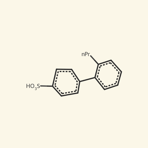 CCCc1ccccc1-c1ccc(S(=O)(=O)O)cc1